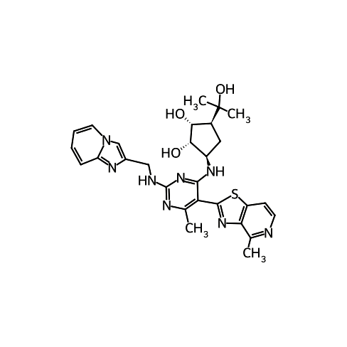 Cc1nc(NCc2cn3ccccc3n2)nc(N[C@@H]2C[C@H](C(C)(C)O)[C@@H](O)[C@H]2O)c1-c1nc2c(C)nccc2s1